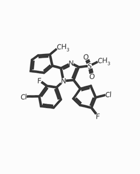 Cc1ccccc1-c1nc(S(C)(=O)=O)c(-c2ccc(F)c(Cl)c2)n1-c1cccc(Cl)c1F